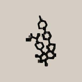 C[C@H](O)C(=O)N1CCC(n2c(=O)[nH]c(=O)c3cnc4ccc(-c5ccc(N6CCN(C)CC6)nc5)nc4c32)CC1